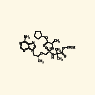 CCCCCOC(=O)C(C)(C)NP(=O)(CO[C@H](C)Cn1cnc2c(N)ncnc21)N[C@H](C)C(=O)OC1CCCC1